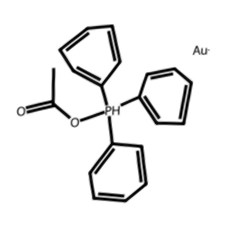 CC(=O)O[PH](c1ccccc1)(c1ccccc1)c1ccccc1.[Au]